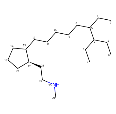 CCC(CC)C(CC)CCCCCC1CCC[C@@H]1CCNC